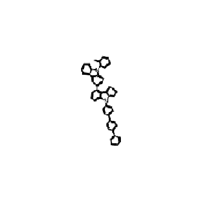 CC1C=CC=CC1n1c2ccccc2c2cc(-c3cccc4c3c3ccccc3n4-c3ccc(-c4ccc(-c5ccccc5)cc4)cc3)ccc21